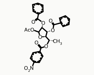 CC(=O)OC1O[C@H]([C@H](C)OC(=O)c2ccc([N+](=O)[O-])cc2)[C@@H](OC(=O)c2ccccc2)[C@H]1OC(=O)c1ccccc1